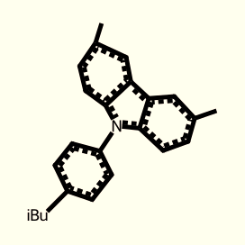 CCC(C)c1ccc(-n2c3ccc(C)cc3c3cc(C)ccc32)cc1